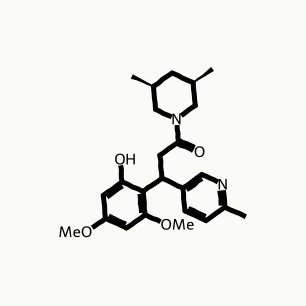 COc1cc(O)c(C(CC(=O)N2C[C@H](C)C[C@H](C)C2)c2ccc(C)nc2)c(OC)c1